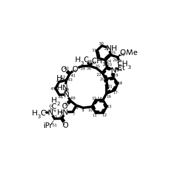 C=[N+](C)[C@H](C(=O)NCC1Cc2cccc(c2)-c2ccc3c(c2)c(c(C2=C([C@H](C)OC)NCC=C2)n3CC)CC(C)(C)COC(=O)[C@@H]2CCCN(N2)C1=O)C(C)C